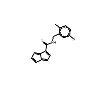 Cc1ccc(F)cc1CNC(=O)C1=CC=C2C=CC=C21